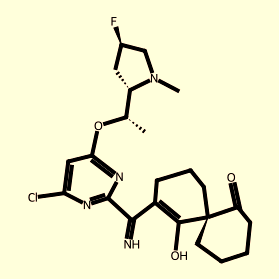 C[C@H](Oc1cc(Cl)nc(C(=N)C2=C(O)[C@]3(CCCCC3=O)CCC2)n1)[C@@H]1C[C@@H](F)CN1C